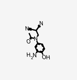 CC(=O)N(CC(C#N)C#N)c1ccc(O)c(N)c1